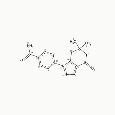 CC1(C)CC(=O)c2cnn(-c3ccc(C(N)=O)cc3)c2C1